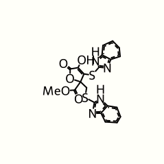 COC(=O)C1(CSc2nc3ccccc3[nH]2)OC(=O)C(O)=C1Sc1nc2ccccc2[nH]1